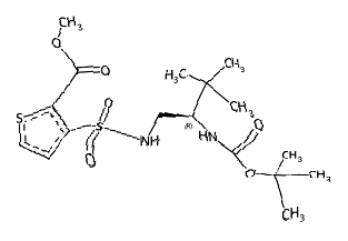 COC(=O)c1sccc1S(=O)(=O)NC[C@H](NC(=O)OC(C)(C)C)C(C)(C)C